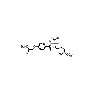 CC(C(=O)c1ccc(OCC(=O)OC(C)(C)C)cc1)C(C)(OC1CCN(C(=O)O)CC1)C(N)=O